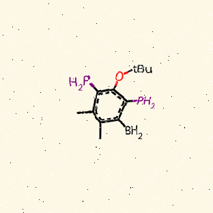 Bc1c(C)c(C)c(P)c(OC(C)(C)C)c1P